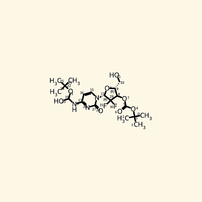 CC(C)(C)OC(=O)OC1[C@@H](CO)O[C@@H](n2ccc(NC(O)OC(C)(C)C)nc2=O)C1(F)F